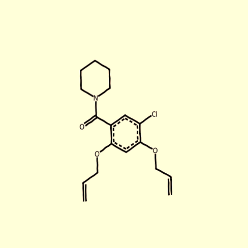 C=CCOc1cc(OCC=C)c(C(=O)N2CCCCC2)cc1Cl